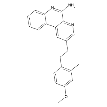 COc1ccc(CCc2cnc3c(N)nc4ccccc4c3c2)c(C)c1